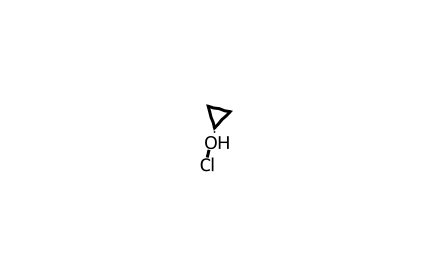 OCl.[CH]1CC1